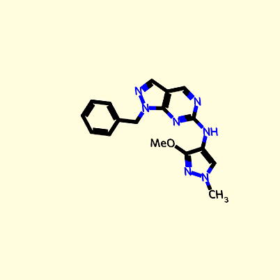 COc1nn(C)cc1Nc1ncc2cnn(Cc3ccccc3)c2n1